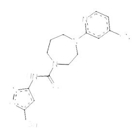 CC(C)(C)c1cc(NC(=O)N2CCCN(c3cc(C#N)ccn3)CC2)no1